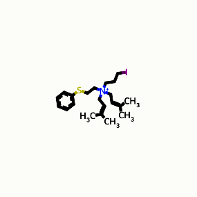 CC(C)=CC[N+](CC=C(C)C)(CCCI)CCSc1ccccc1